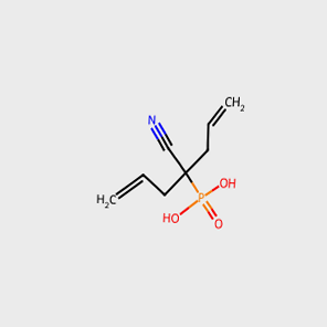 C=CCC(C#N)(CC=C)P(=O)(O)O